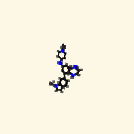 CC(=O)N1CCC(Nc2cc(-c3ccc4ccn(C(C)C)c4c3)c3nccnc3c2)CC1